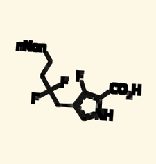 CCCCCCCCCCCC(F)(F)Cc1c[nH]c(C(=O)O)c1F